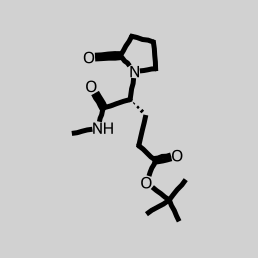 CNC(=O)[C@@H](CCC(=O)OC(C)(C)C)N1CCCC1=O